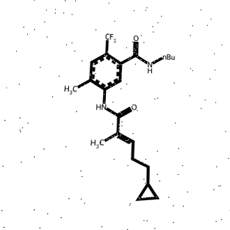 CCCCNC(=O)c1cc(NC(=O)/C(C)=C/CCC2CC2)c(C)cc1C(F)(F)F